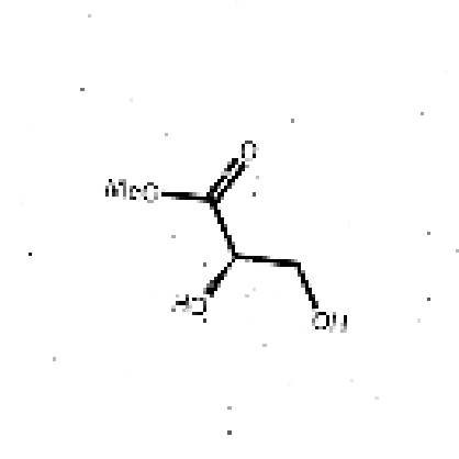 COC(=O)[C@H](O)CO